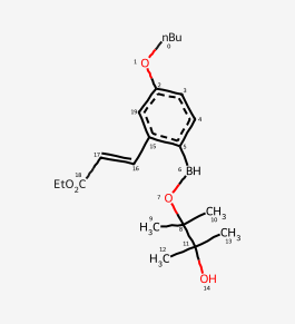 CCCCOc1ccc(BOC(C)(C)C(C)(C)O)c(/C=C/C(=O)OCC)c1